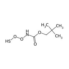 CC(C)(C)COC(=O)NOOS